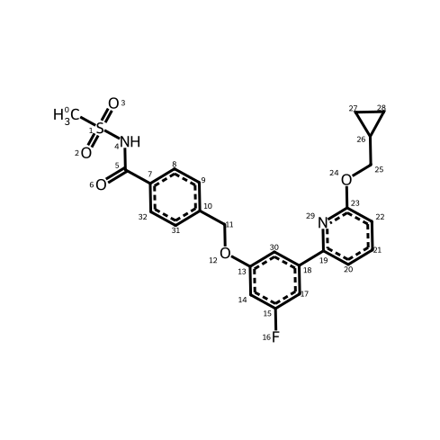 CS(=O)(=O)NC(=O)c1ccc(COc2cc(F)cc(-c3cccc(OCC4CC4)n3)c2)cc1